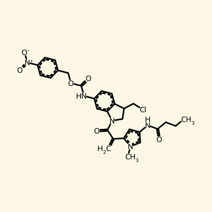 C=C(C(=O)N1CC(CCl)c2ccc(NC(=O)OCc3ccc([N+](=O)[O-])cc3)cc21)c1cc(NC(=O)CCC)cn1C